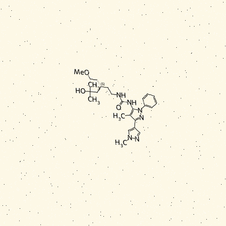 COCC[C@H](CCNC(=O)Nc1c(C)c(-c2cnn(C)c2)nn1-c1ccccc1)CC(C)(C)O